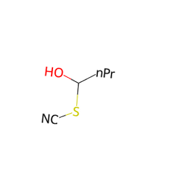 CCCC(O)SC#N